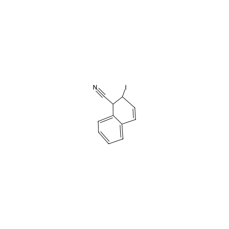 N#CC1c2ccccc2C=CC1I